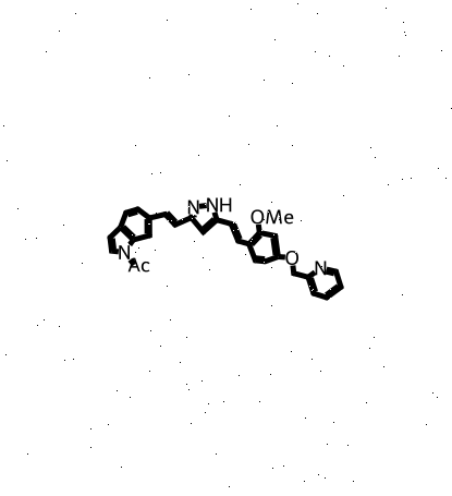 COc1cc(OCc2ccccn2)ccc1C=Cc1cc(C=Cc2ccc3ccn(C(C)=O)c3c2)n[nH]1